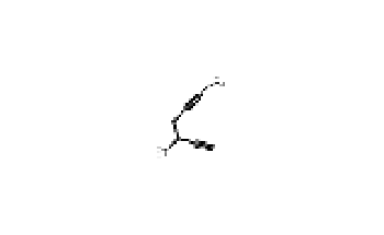 C#CC(CC)CC#CC(C)CC